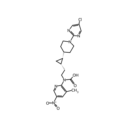 Cc1cc([N+](=O)[O-])cnc1N(CC[C@@H]1C[C@@H]1C1CCN(c2ncc(Cl)cn2)CC1)C(=O)O